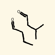 CC(C)CC=O.CCCC=O